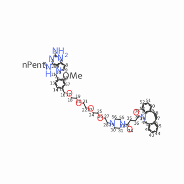 CCCCCNc1nc(N)nc2ccn(Cc3ccc(COCCOCCOCCOCCN4CCN(C(=O)CCC(=O)N5Cc6ccccc6C#Cc6ccccc65)CC4)cc3OC)c12